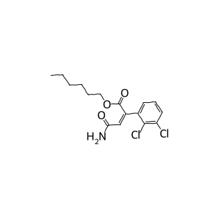 CCCCCCOC(=O)/C(=C\C(N)=O)c1cccc(Cl)c1Cl